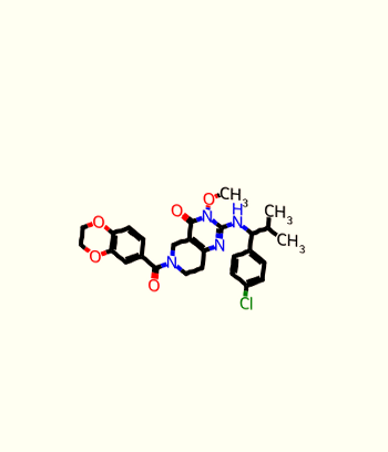 COn1c(NC(c2ccc(Cl)cc2)C(C)C)nc2c(c1=O)CN(C(=O)c1ccc3c(c1)OCCO3)CC2